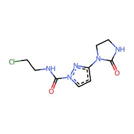 O=C1NCCN1c1ccn(C(=O)NCCCl)n1